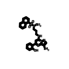 Bc1cnn2c(NCCCN(N)S(=O)(=O)c3cccc4ccccc34)cc(-c3ccccc3O)nc12